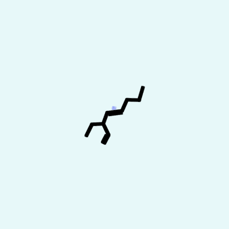 C=CC(/C=C/CCC)CC